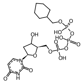 O=c1ccn([C@H]2CC(O)[C@@H](COP(=O)(O)OP(=O)(O)OP(=O)(O)OCC3CCCCC3)O2)c(=O)[nH]1